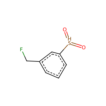 O=[SH](=O)c1cccc(CF)c1